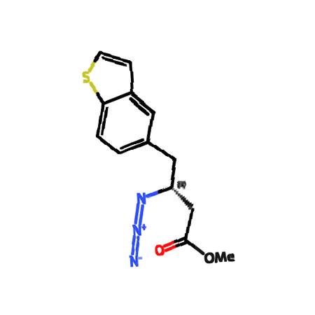 COC(=O)C[C@@H](Cc1ccc2sccc2c1)N=[N+]=[N-]